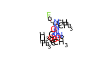 CC1CN(CC(=O)N2CC(C)(C)c3ncc(Cc4ccc(F)cc4)cc32)C(CN2C(=O)C3CCC2C3)CN1C(=O)OC(C)(C)C